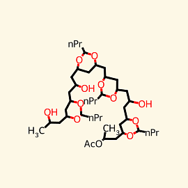 CCCC1OC(CC(C)O)CC(CC(O)CC2CC(CC3CC(CC(O)CC4CC(CC(C)OC(C)=O)OC(CCC)O4)OC(CCC)O3)OC(CCC)O2)O1